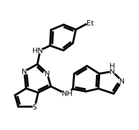 CCc1ccc(Nc2nc(Nc3ccc4[nH]ncc4c3)c3sccc3n2)cc1